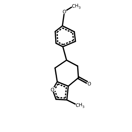 COc1ccc(C2CC(=O)c3c(C)coc3C2)cc1